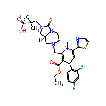 CCOC(=O)C1=C(CN2CCN3C(=S)N(CC(C)(C)C(=O)O)C[C@@H]3C2)NC(c2nccs2)=C[C@H]1c1ccc(F)cc1Br